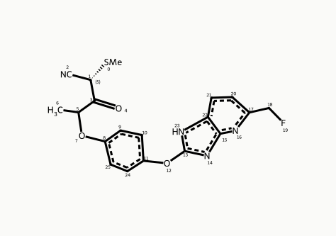 CS[C@@H](C#N)C(=O)C(C)Oc1ccc(Oc2nc3nc(CF)ccc3[nH]2)cc1